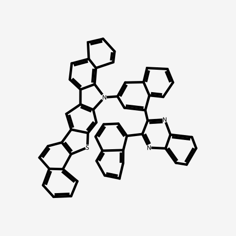 c1ccc2c(-c3nc4ccccc4nc3-c3cc(-n4c5cc6sc7c8ccccc8ccc7c6cc5c5ccc6ccccc6c54)cc4ccccc34)cccc2c1